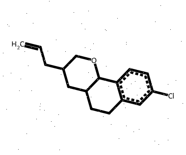 C=CCC1COC2c3ccc(Cl)cc3CCC2C1